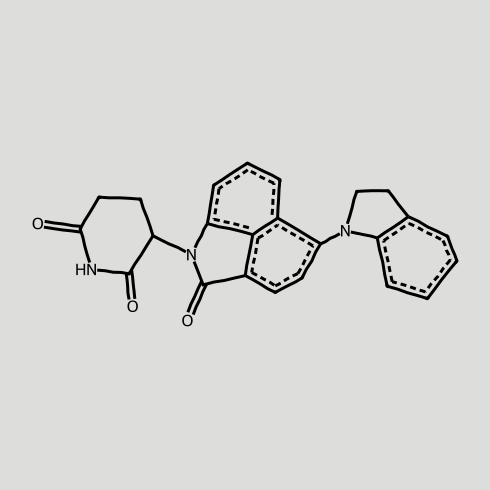 O=C1CCC(N2C(=O)c3ccc(N4CCc5ccccc54)c4cccc2c34)C(=O)N1